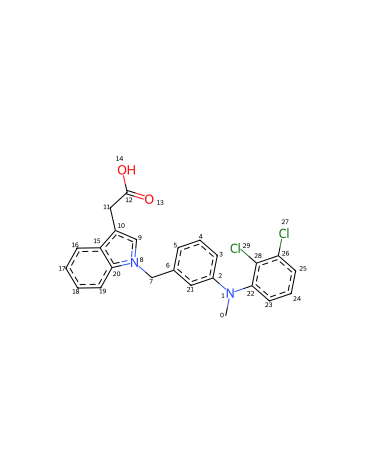 CN(c1cccc(Cn2cc(CC(=O)O)c3ccccc32)c1)c1cccc(Cl)c1Cl